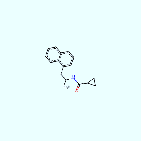 O=C(NC(Cc1cccc2ccccc12)C(=O)O)C1CC1